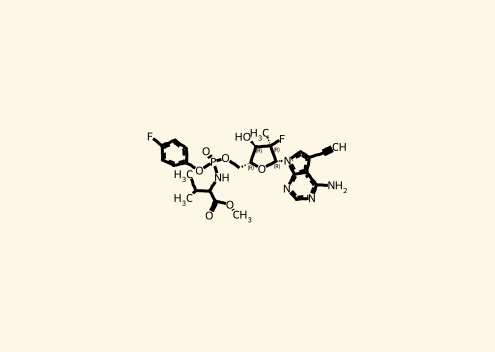 C#Cc1cn([C@@H]2O[C@H](COP(=O)(NC(C(=O)OC)C(C)C)Oc3ccc(F)cc3)[C@@H](O)[C@@]2(C)F)c2ncnc(N)c12